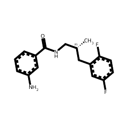 C[C@@H](CNC(=O)c1cccc(N)c1)Cc1cc(F)ccc1F